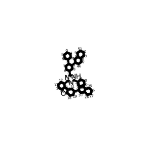 c1ccc(-c2ccc(C3=NC(c4cccc5oc6ccc(-c7ccc8ccccc8c7)cc6c45)=NC(c4ccccc4)N3)cc2-c2ccc3ccccc3c2)cc1